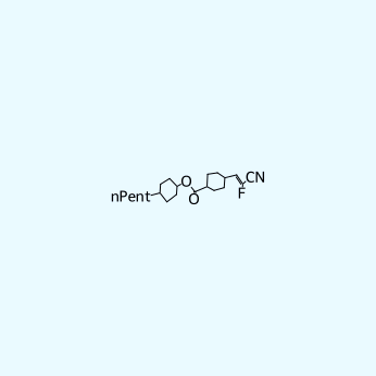 CCCCCC1CCC(OC(=O)C2CCC(C=C(F)C#N)CC2)CC1